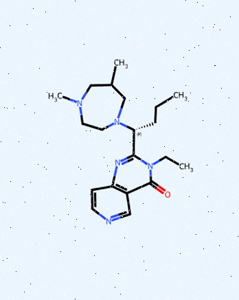 CCC[C@H](c1nc2ccncc2c(=O)n1CC)N1CCN(C)CC(C)C1